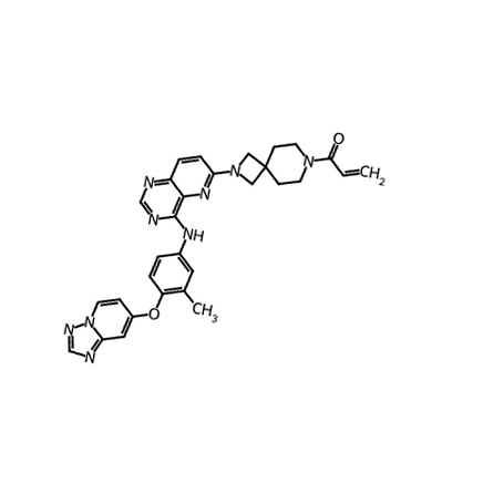 C=CC(=O)N1CCC2(CC1)CN(c1ccc3ncnc(Nc4ccc(Oc5ccn6ncnc6c5)c(C)c4)c3n1)C2